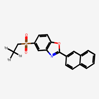 [2H]C([2H])([2H])CS(=O)(=O)c1ccc2oc(-c3ccc4ccccc4c3)nc2c1